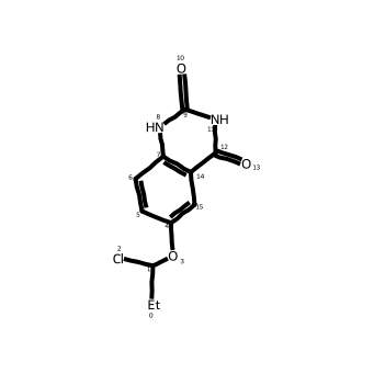 CCC(Cl)Oc1ccc2[nH]c(=O)[nH]c(=O)c2c1